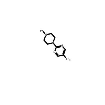 CC(C)N1CCN(c2ncc(C(F)(F)F)cn2)CC1